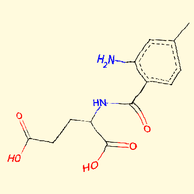 Cc1ccc(C(=O)NC(CCC(=O)O)C(=O)O)c(N)c1